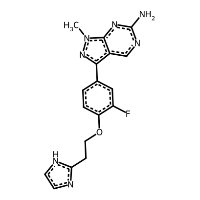 Cn1nc(-c2ccc(OCCc3ncc[nH]3)c(F)c2)c2cnc(N)nc21